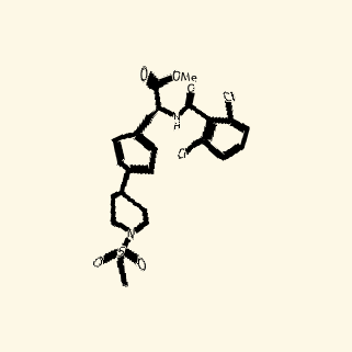 COC(=O)[C@H](Cc1ccc(C2CCN(S(C)(=O)=O)CC2)cc1)NC(=O)c1c(Cl)cccc1Cl